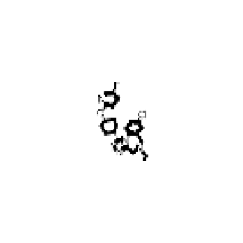 CCN1Cc2cc(Cl)ccc2-n2c(nnc2[C@H]2CC[C@H](Oc3ccc(F)cn3)CC2)C1